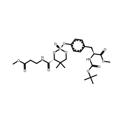 COC(=O)CCNC(=O)[C@@H]1O[P@@](=O)(Oc2ccc(C[C@H](NC(=O)OC(C)(C)C)C(=O)OC)cc2)OCC1(C)C